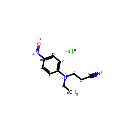 CCN(CCC#N)c1ccc(N=O)cc1.Cl